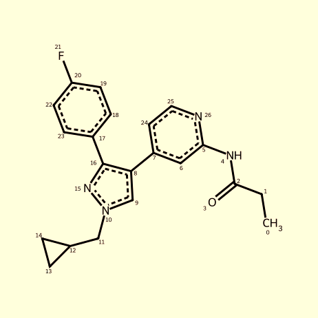 CCC(=O)Nc1cc(-c2cn(CC3CC3)nc2-c2ccc(F)cc2)ccn1